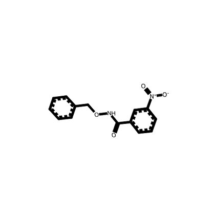 O=C(NOCc1ccccc1)c1cccc([N+](=O)[O-])c1